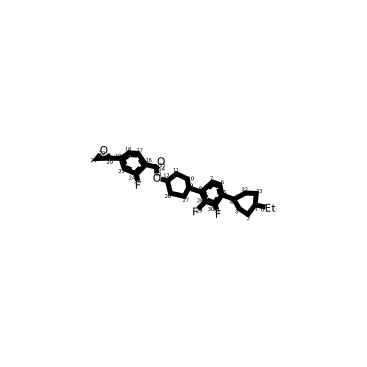 CCC1CCC(c2ccc(C3CCC(OC(=O)c4ccc(C5CO5)cc4F)CC3)c(F)c2F)CC1